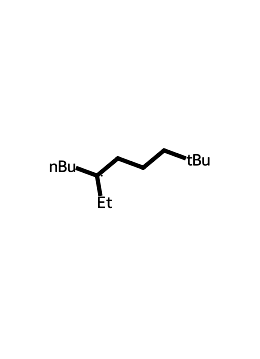 CCCC[C](CC)CCCC(C)(C)C